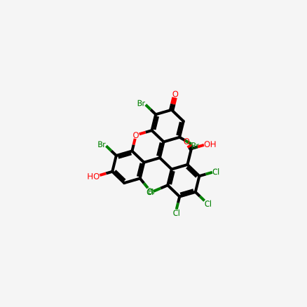 O=C(O)c1c(Cl)c(Cl)c(Cl)c(Cl)c1-c1c2c(Br)cc(=O)c(Br)c-2oc2c(Br)c(O)cc(Br)c12